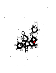 O=C1C[C@H](c2cc(Br)ccc2OC2CCNCC2)[C@@]2(C(=O)Nc3cc(Cl)ccc32)[C@@H](c2ccccc2Cl)N1